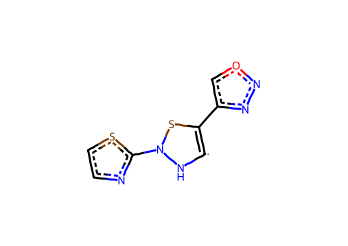 [C]1=C(c2conn2)SN(c2nccs2)N1